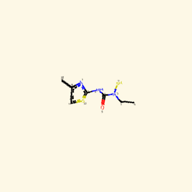 CCN(S)C(=O)Nc1nc(C)cs1